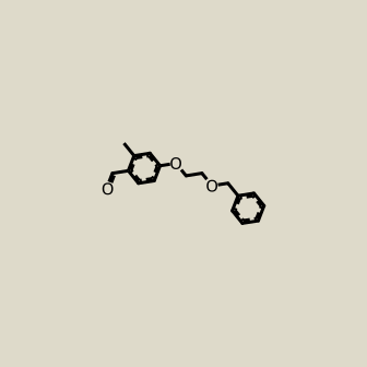 Cc1cc(OCCOCc2ccccc2)ccc1C=O